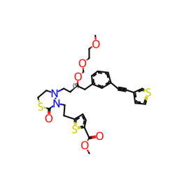 COCCOCO[C@H](CCN1CCSC(=O)N1CCc1ccc(C(=O)OC)s1)Cc1cccc(C#Cc2ccsc2)c1